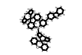 c1ccc2c(c1)Oc1ccccc1C21c2ccccc2-c2cc(N(c3ccc(-c4ccc5c(c4)sc4ccccc45)cc3)c3cccc4c3-c3ccccc3C43c4ccccc4Sc4ccccc43)ccc21